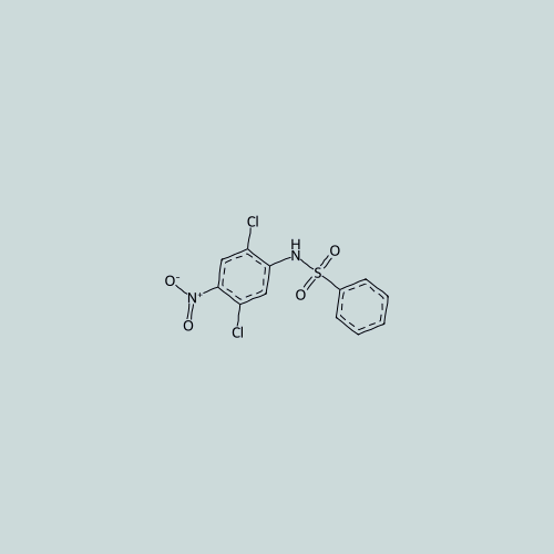 O=[N+]([O-])c1cc(Cl)c(NS(=O)(=O)c2ccccc2)cc1Cl